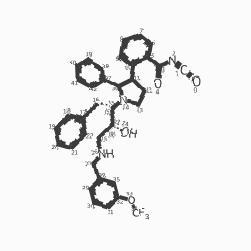 O=C=NC(=O)c1ccccc1C1CCN([C@@H](Cc2ccccc2)[C@H](O)CNCc2cccc(OC(F)(F)F)c2)C1c1ccccc1